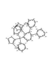 CC1=C(c2c(C(C3=C(C)C=CC3)(c3ccccc3)c3ccccc3)ccc(-c3ccccc3)c2-c2ccccc2)CC=C1